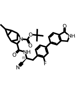 CC1C2C3CC(C12)N(C(=O)OC(C)(C)C)C3C(=O)N[C@H](C#N)Cc1ccc(-c2ccc3c(c2)CNC3=O)cc1F